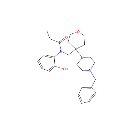 CCC(=O)N(CC1(N2CCN(Cc3ccccc3)CC2)CCOCC1)c1ccccc1O